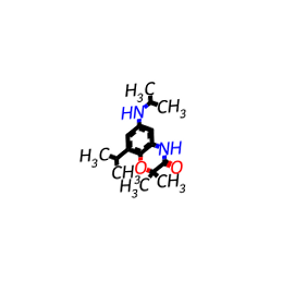 CC(C)Nc1cc2c(c(C(C)C)c1)OC(C)(C)C(=O)N2